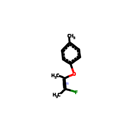 C/C(F)=C(\C)Oc1ccc(C)cc1